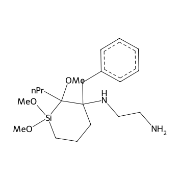 CCCC1(OC)C(Cc2ccccc2)(NCCN)CCC[Si]1(OC)OC